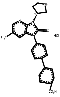 Cc1cnc2c(c1)n(-c1ccc(-c3ccc(C(=O)O)cc3)cc1)c(=O)n2[C@H]1CCNC1.Cl